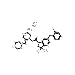 C[C@@H]1CN(CC(=O)N2CC(C)(C)c3ncc(Cc4ccccc4F)cc32)[C@@H](CN2CCOCC2)CN1.Cl.Cl